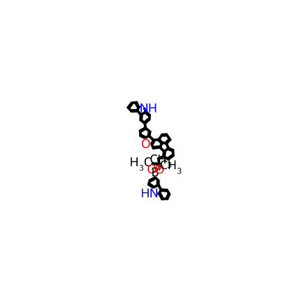 CC1(C)OB(c2ccc3[nH]c4ccccc4c3c2)OC1(C)Cc1cccc2c1-c1cc3oc4ccc(-c5ccc6[nH]c7ccccc7c6c5)cc4c3c3cccc-2c13